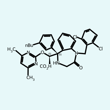 CCCCc1cccc([C@]2([C@H](Oc3nc(C)cc(C)n3)C(=O)O)NCC(=O)N(Cc3c(Cl)cccc3Cl)c3ccccc32)c1